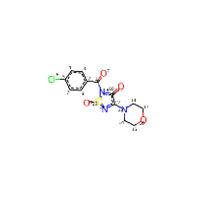 O=C(c1ccc(Cl)cc1)n1c(=O)c(N2CCOCC2)n[s+]1[O-]